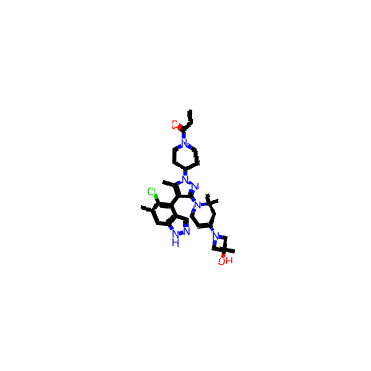 C=CC(=O)N1CCC(n2nc(N3CCC(N4CC(C)(O)C4)CC3(C)C)c(-c3c(Cl)c(C)cc4[nH]ncc34)c2C)CC1